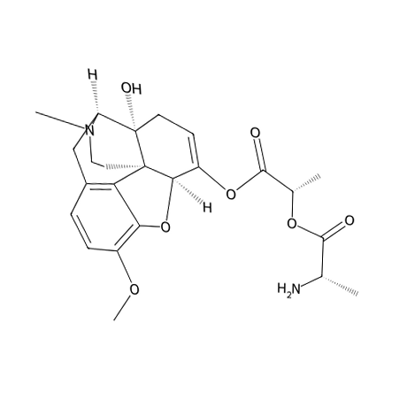 COc1ccc2c3c1O[C@@H]1C(OC(=O)[C@H](C)OC(=O)[C@H](C)N)=CC[C@]4(O)[C@H](C2)N(C)CC[C@@]314